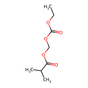 CCOC(=O)OCOC(=O)C(C)C